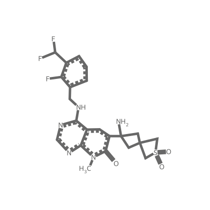 Cn1c(=O)c(C2(N)CC3(C2)CS(=O)(=O)C3)cc2c(NCc3cccc(C(F)F)c3F)ncnc21